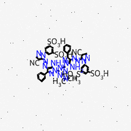 CN(C)c1nc(-n2nc(-c3ccccc3)c(N=Nc3c(C#N)cnn3-c3cc(S(=O)(=O)O)cc(S(=O)(=O)O)c3)c2N)nc(-n2nc(-c3ccccc3)c(N=Nc3c(C#N)cnn3-c3cc(S(=O)(=O)O)cc(S(=O)(=O)O)c3)c2N)n1